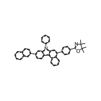 CC1(C)N=C(c2ccc(-c3cc4c(c5ccccc35)c3ccc(-c5ccc6ccccc6c5)cc3n4-c3ccccc3)cc2)OC1(C)C